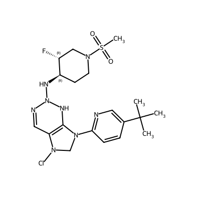 CC(C)(C)c1ccc(N2CN(Cl)C3=C2NN(N[C@@H]2CCN(S(C)(=O)=O)C[C@H]2F)N=C3)nc1